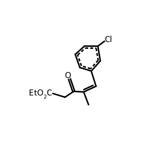 CCOC(=O)CC(=O)C(C)=Cc1cccc(Cl)c1